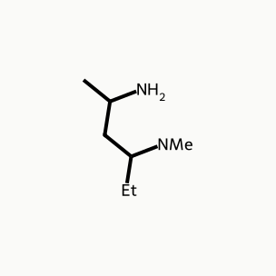 CCC(CC(C)N)NC